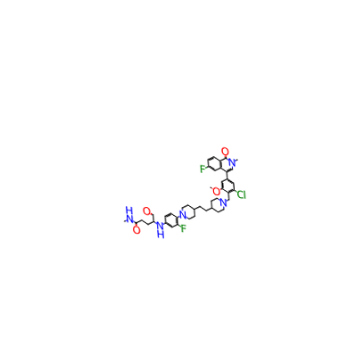 CNC(=O)CCC(C=O)Nc1ccc(N2CCC(CCC3CCN(Cc4c(Cl)cc(-c5cn(C)c(=O)c6ccc(F)cc56)cc4OC)CC3)CC2)c(F)c1